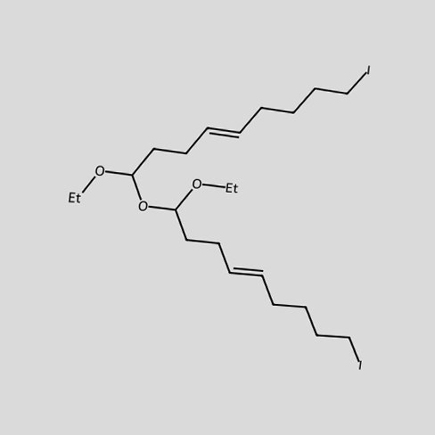 CCOC(CCC=CCCCCI)OC(CCC=CCCCCI)OCC